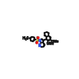 COc1cc2ccccc2c(-c2cn(S(=O)(=O)c3ccc(C)cc3)c3ncccc23)c1OC